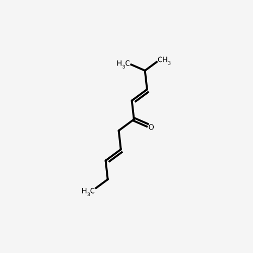 CC/C=C/CC(=O)/C=C/C(C)C